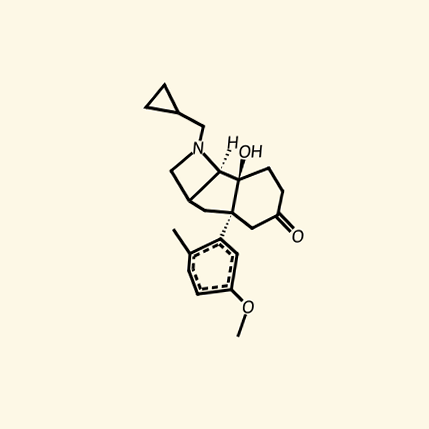 COc1ccc(C)c([C@@]23CC(=O)CC[C@@]2(O)[C@H]2C(CN2CC2CC2)C3)c1